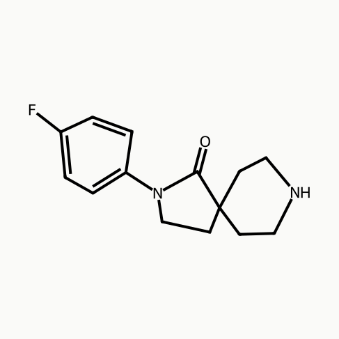 O=C1N(c2ccc(F)cc2)CCC12CCNCC2